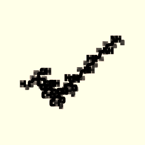 C=CC(=O)O.C=CC(=O)O.C=CC(=O)O.CCC(CO)(CO)CO.NCCNCCNCCNCCN